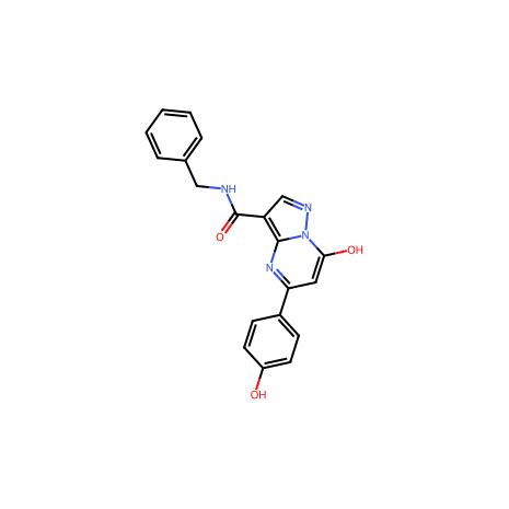 O=C(NCc1ccccc1)c1cnn2c(O)cc(-c3ccc(O)cc3)nc12